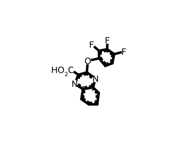 O=C(O)c1nc2ccccc2nc1Oc1ccc(F)c(F)c1F